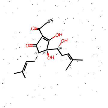 CC(C)=CC[C@@H](O)[C@@]1(O)C(O)=C(C(=O)C(C)C)C(=O)[C@H]1CC=C(C)C